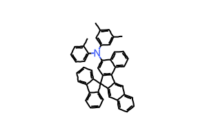 Cc1cc(C)cc(N(c2ccccc2C)c2cc3c(c4ccccc24)-c2cc4ccccc4cc2C32c3ccccc3-c3ccccc32)c1